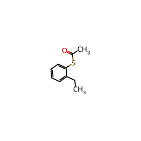 CCc1ccccc1SC(C)=O